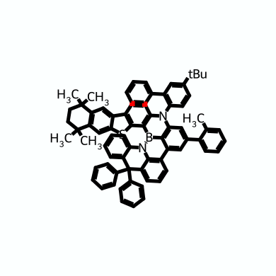 Cc1ccccc1-c1cc2c3c(c1)N(c1ccc(C(C)(C)C)cc1-c1ccccc1)c1ccc4c(sc5cc6c(cc54)C(C)(C)CCC6(C)C)c1B3N1c3ccccc3C(c3ccccc3)(c3ccccc3)c3cccc-2c31